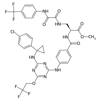 COC(=O)[C@H](CNC(=O)C(=O)Nc1ccc(C(F)(F)F)cc1)NC(=O)c1ccc(Nc2nc(NC3(c4ccc(Cl)cc4)CC3)nc(OCC(F)(F)F)n2)cc1